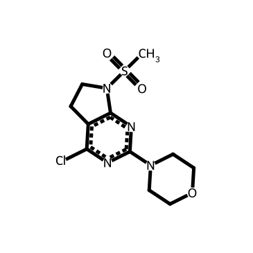 CS(=O)(=O)N1CCc2c(Cl)nc(N3CCOCC3)nc21